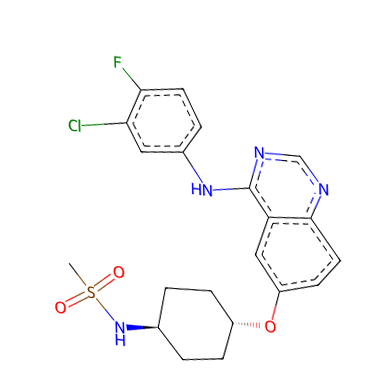 CS(=O)(=O)N[C@H]1CC[C@H](Oc2ccc3ncnc(Nc4ccc(F)c(Cl)c4)c3c2)CC1